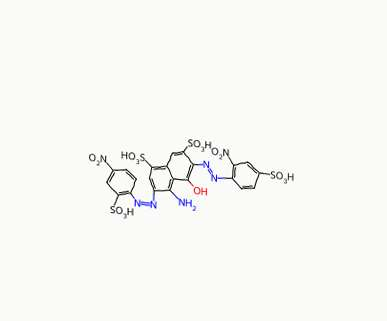 Nc1c(/N=N\c2ccc([N+](=O)[O-])cc2S(=O)(=O)O)cc(S(=O)(=O)O)c2cc(S(=O)(=O)O)c(N=Nc3ccc(S(=O)(=O)O)cc3[N+](=O)[O-])c(O)c12